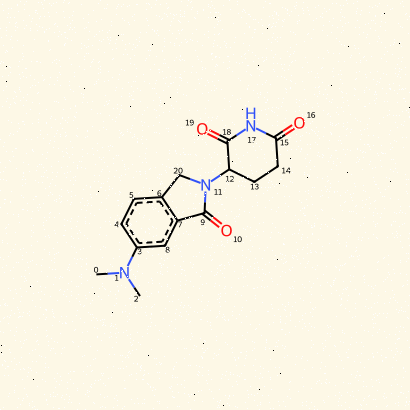 CN(C)c1ccc2c(c1)C(=O)N(C1CCC(=O)NC1=O)C2